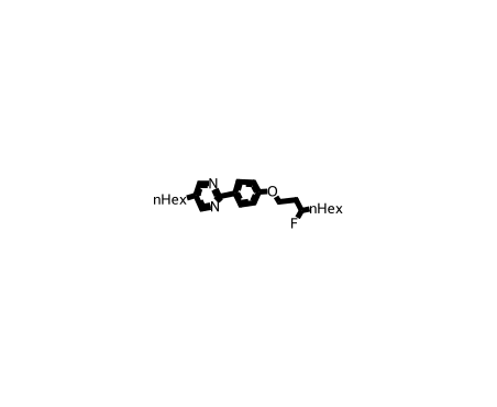 CCCCCCc1cnc(-c2ccc(OCCC(F)CCCCCC)cc2)nc1